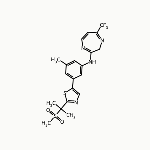 Cc1cc(NC2=NC=CC(C(F)(F)F)=NC2)cc(-c2cnc(C(C)(C)S(C)(=O)=O)s2)c1